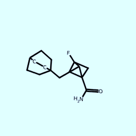 NC(=O)C12CC(F)(C1)C2CC12CCC(CC1)CC2